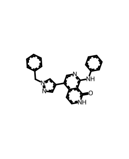 O=c1[nH]ccc2c(-c3cnn(Cc4ccccc4)c3)cnc(Nc3ccccc3)c12